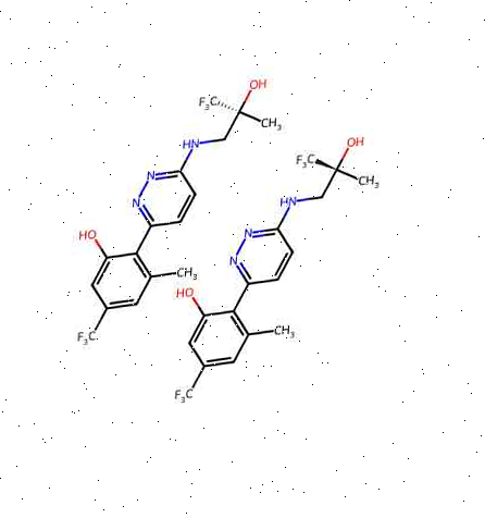 Cc1cc(C(F)(F)F)cc(O)c1-c1ccc(NC[C@@](C)(O)C(F)(F)F)nn1.Cc1cc(C(F)(F)F)cc(O)c1-c1ccc(NC[C@](C)(O)C(F)(F)F)nn1